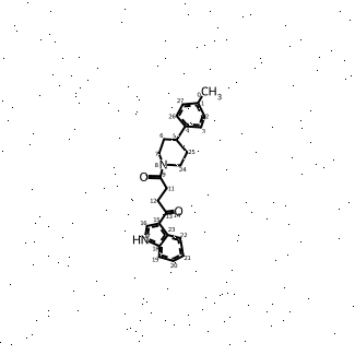 Cc1ccc(C2CCN(C(=O)CCC(=O)c3c[nH]c4ccccc34)CC2)cc1